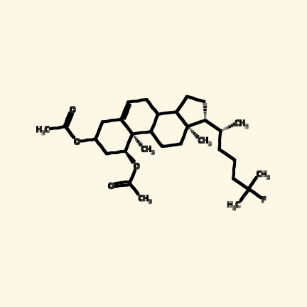 CC(=O)OC1CC2=CCC3C4CC[C@H]([C@H](C)CCCC(C)(C)F)[C@@]4(C)CCC3[C@@]2(C)[C@@H](OC(C)=O)C1